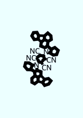 N#Cc1c(C#N)c(-n2c3ccccc3c3c4cccc5c4c(cc32)-c2ccccc2-5)c(C#N)c(C#N)c1-n1c2ccccc2c2c3cccc4c3c(cc21)-c1ccccc1-4